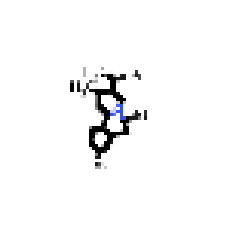 C=C1C=C2c3ccc(CC)cc3CC(CC)N2C=C1C(=C)CCC